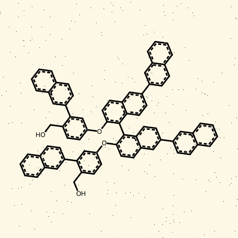 OCc1ccc(Oc2ccc3cc(-c4ccc5ccccc5c4)ccc3c2-c2c(Oc3ccc(CO)c(-c4ccc5ccccc5c4)c3)ccc3cc(-c4ccc5ccccc5c4)ccc23)cc1-c1ccc2ccccc2c1